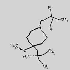 COC1(C(C)(C)C)CCN(CC(C)(F)F)CC1